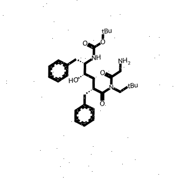 CC(C)(C)CN(C(=O)CN)C(=O)[C@H](Cc1ccccc1)C[C@H](O)[C@H](Cc1ccccc1)NC(=O)OC(C)(C)C